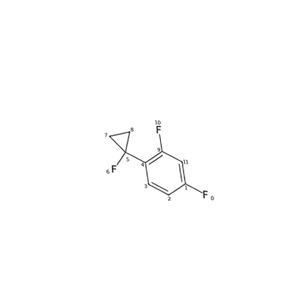 Fc1ccc(C2(F)CC2)c(F)c1